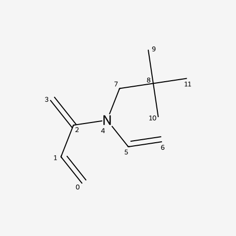 C=CC(=C)N(C=C)CC(C)(C)C